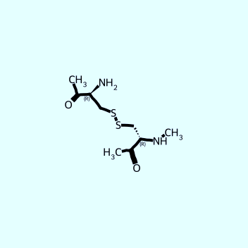 CN[C@@H](CSSC[C@H](N)C(C)=O)C(C)=O